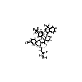 CCC[C@H]1N(C(=O)c2ncccc2C(F)(F)F)CCC[C@]1(Oc1csc(C(F)(F)F)c1)C(=O)N1Cc2ccc(Cl)cc2C[C@@H]1CCC(=O)NO